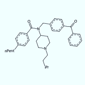 CCCCCc1ccc(C(=O)N(Cc2ccc(C(=O)c3ccccc3)cc2)C2CCN(CCC(C)C)CC2)cc1